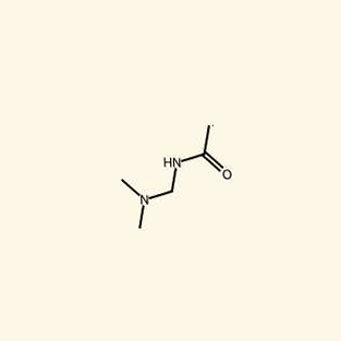 [CH2]C(=O)NCN(C)C